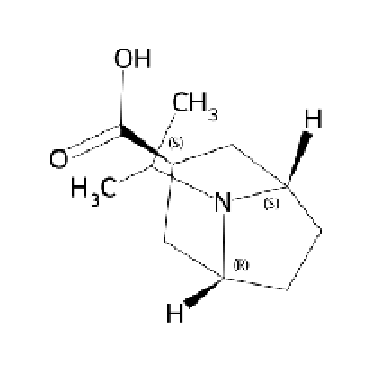 CC(C)N1[C@@H]2CC[C@H]1C[C@H](C(=O)O)C2